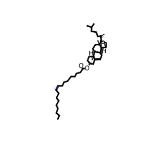 CCCCCCCC/C=C\CCCCCCCC(=O)O[C@H]1CC[C@@]2(C)C(=CC[C@H]3[C@@H]4CC[C@H]([C@H](C)CCCC(C)C)[C@@]4(C)CC[C@@H]32)C1